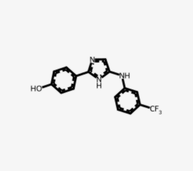 Oc1ccc(-c2ncc(Nc3cccc(C(F)(F)F)c3)[nH]2)cc1